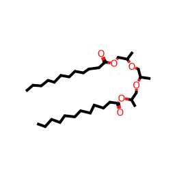 CCCCCCCCCCCC(=O)OCC(C)OCC(C)OCC(C)OC(=O)CCCCCCCCCCC